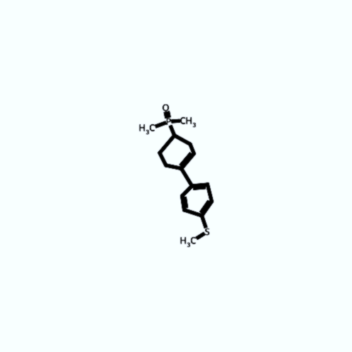 CSc1ccc(C2=CCC(P(C)(C)=O)CC2)cc1